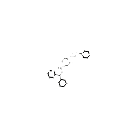 O=C(CC(c1ccccc1)c1ccccc1)N1CCN(CCNc2ccccc2)CC1